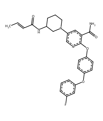 CC=CC(=O)NC1CCCN(c2cnc(Oc3ccc(Oc4cccc(F)c4)cc3)c(C(N)=O)c2)C1